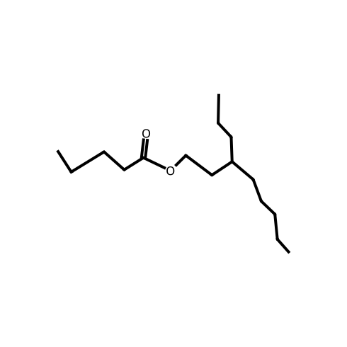 CCCCCC(CCC)CCOC(=O)CCCC